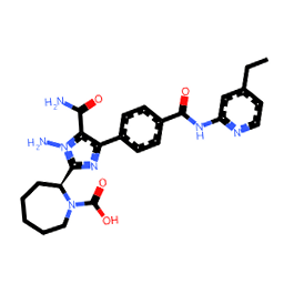 CCc1ccnc(NC(=O)c2ccc(-c3nc([C@@H]4CCCCCN4C(=O)O)n(N)c3C(N)=O)cc2)c1